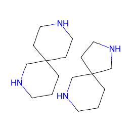 C1CNCC2(C1)CCNC2.C1CNCC2(C1)CCNCC2